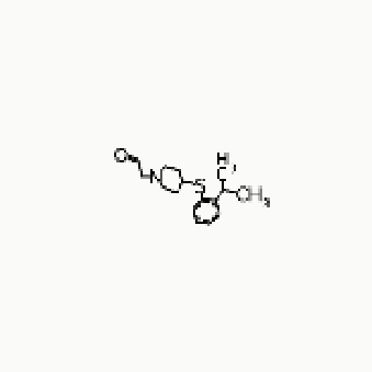 CC(C)c1ccccc1SC1CCN(CC=O)CC1